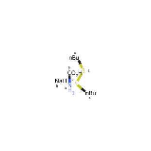 CCCCSSCCCC.NC(=O)O.[NaH]